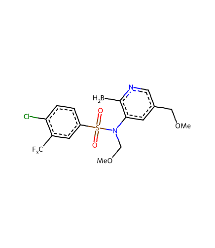 Bc1ncc(COC)cc1N(COC)S(=O)(=O)c1ccc(Cl)c(C(F)(F)F)c1